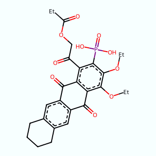 CCOc1c(OCC)c(P(=O)(O)O)c(C(=O)COC(=O)CC)c2c1C(=O)c1cc3c(cc1C2=O)CCCC3